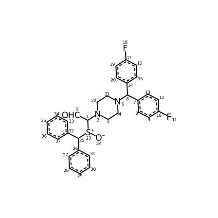 O=CC(N1CCN(C(c2ccc(F)cc2)c2ccc(F)cc2)CC1)[S+]([O-])C(c1ccccc1)c1ccccc1